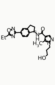 CCc1nc(-c2ccc3c(c2)CC[C@H]3NC(=O)c2cnn(CCCO)c2C)no1